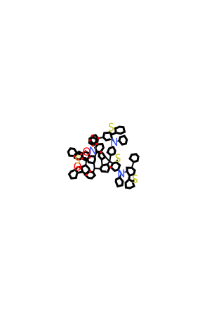 c1ccc(-c2cc(N(c3ccccc3)c3ccc4c(c3)Sc3cc(N(c5ccccc5)c5cc(-c6ccccc6)cc6sc7ccccc7c56)ccc3C43c4ccc(N(c5ccccc5)c5cc(-c6cccc7c6oc6ccccc67)c6sc7ccccc7c6c5)cc4-c4c(C(c5ccccc5)c5cc(-c6ccccc6)c6oc7ccccc7c6c5)cccc43)c3c(c2)sc2ccccc23)cc1